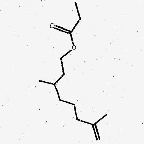 C=C(C)CCCC(C)CCOC(=O)CC